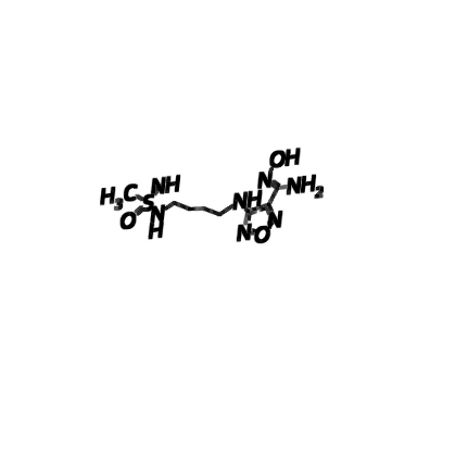 CS(=N)(=O)NCCCCNc1nonc1/C(N)=N/O